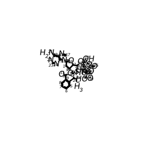 CSSC(C)c1ccccc1C(=O)O[C@@H]1C[C@H](n2cnc3c(N)ncnc32)OC1COP(=O)(O)OP(=O)(O)OP(=O)(O)O